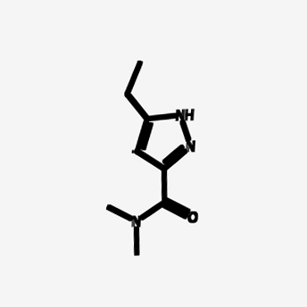 CCc1[c]c(C(=O)N(C)C)n[nH]1